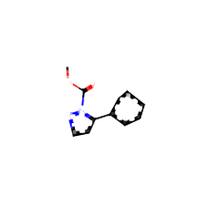 COC(=O)n1nccc1-c1ccccc1